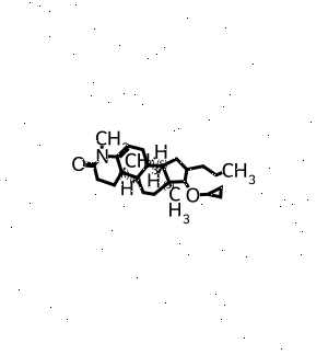 CCCC1C[C@H]2[C@@H]3CC=C4N(C)C(=O)CC[C@]4(C)[C@@H]3CC[C@]2(C)C1OC1CC1